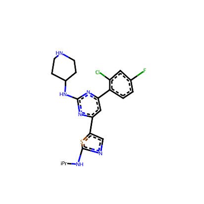 CC(C)Nc1ncc(-c2cc(-c3ccc(F)cc3Cl)nc(NC3CCNCC3)n2)s1